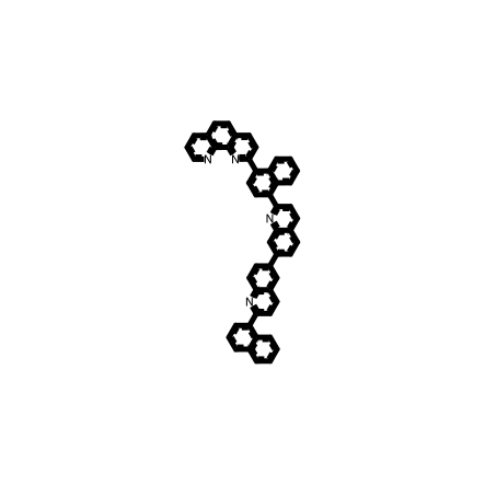 c1ccc2c(-c3ccc4cc(-c5ccc6ccc(-c7ccc(-c8ccc9ccc%10cccnc%10c9n8)c8ccccc78)nc6c5)ccc4n3)cccc2c1